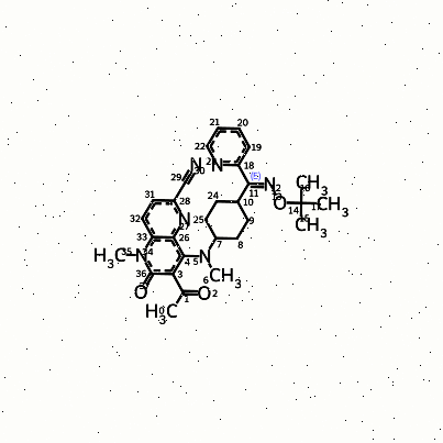 CC(=O)c1c(N(C)C2CCC(/C(=N\OC(C)(C)C)c3ccccn3)CC2)c2nc(C#N)ccc2n(C)c1=O